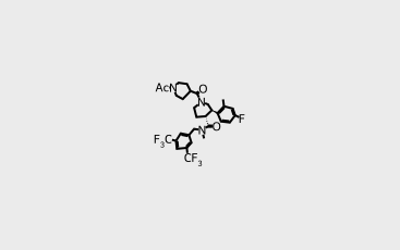 CC(=O)N1CCC(C(=O)N2CC[C@@H](C(=O)N(C)Cc3cc(C(F)(F)F)cc(C(F)(F)F)c3)[C@H](c3ccc(F)cc3C)C2)CC1